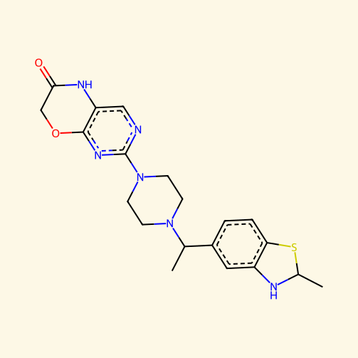 CC1Nc2cc(C(C)N3CCN(c4ncc5c(n4)OCC(=O)N5)CC3)ccc2S1